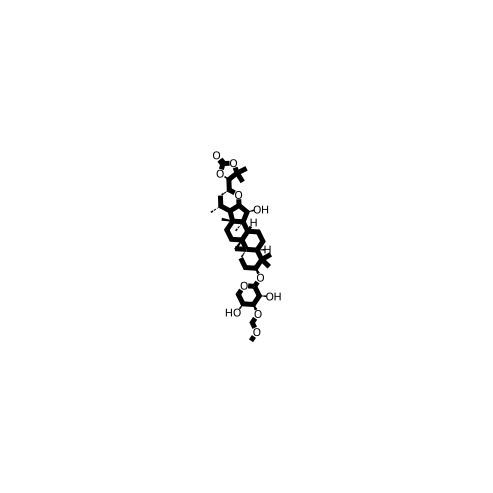 COCO[C@H]1[C@H](O)COC(O[C@H]2CC[C@]34C[C@]35CC[C@]3(C)C6C(O[C@@H]([C@@H]7OC(=O)OC7(C)C)C[C@H]6C)[C@H](O)[C@@]3(C)[C@@H]5CC[C@H]4C2(C)C)[C@@H]1O